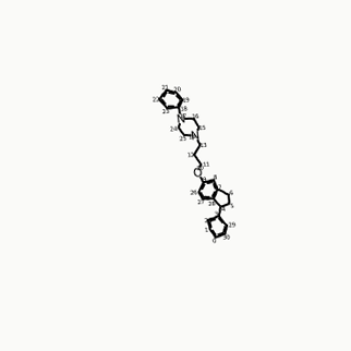 c1ccc(C2CCc3cc(OCCCN4CCN(c5ccccc5)CC4)ccc32)cc1